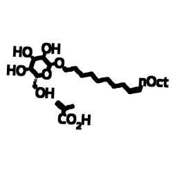 C=C(C)C(=O)O.CCCCCCCC/C=C\CCCCCCCCO[C@H]1O[C@H](CO)[C@@H](O)[C@H](O)[C@H]1O